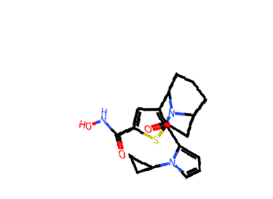 O=C(NO)c1cc2c(s1)CC1CCCC2N1C(=O)c1cccn1C1CC1